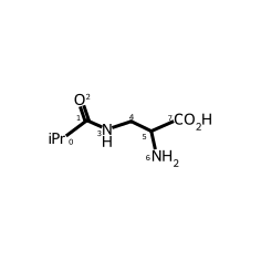 CC(C)C(=O)NCC(N)C(=O)O